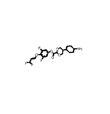 CCCC1CCC(C2COC(C(=O)Oc3cc(F)c(O/C=C/C(F)F)c(F)c3)OC2)CC1